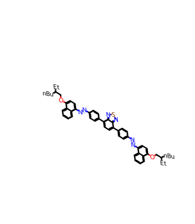 CCCCC(CC)COc1ccc(/N=N/c2ccc(-c3ccc(-c4ccc(/N=N/c5ccc(OCC(CC)CCCC)c6ccccc56)cc4)c4nsnc34)cc2)c2ccccc12